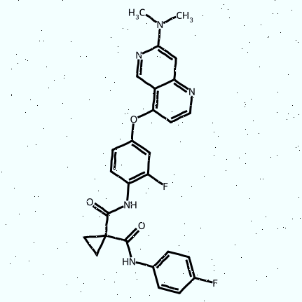 CN(C)c1cc2nccc(Oc3ccc(NC(=O)C4(C(=O)Nc5ccc(F)cc5)CC4)c(F)c3)c2cn1